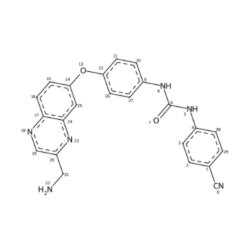 N#Cc1ccc(NC(=O)Nc2ccc(Oc3ccc4ncc(CN)nc4c3)cc2)cc1